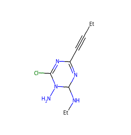 CCC#CC1=NC(NCC)N(N)C(Cl)=N1